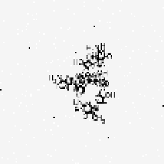 C[n+]1cn([C@@H]2O[C@H](COP(=O)([O-])OP(=O)(O)OP(=O)(O)OC[C@]34CO[C@@H](C3OP(=O)(O)OC[C@H]3O[C@@H](n5cnc6c(=O)[nH]c(N)nc65)[C@@H](O)C3O)[C@H](n3cnc5c(N)ncnc53)O4)[C@H](O)C2F)c2nc(N)[nH]c(=O)c21